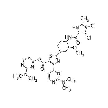 CO[C@H]1CN(c2nc(-c3ccnc(N(C)C)n3)c(C(=O)Oc3ccnc(N(C)C)n3)s2)CC[C@H]1NC(=O)c1[nH]c(C)c(Cl)c1Cl